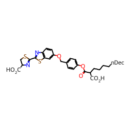 CCCCCCCCCCCCCCC(C(=O)O)C(=O)Oc1ccc(COc2ccc3nc(C4=NC(C(=O)O)CS4)sc3c2)cc1